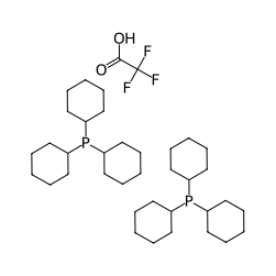 C1CCC(P(C2CCCCC2)C2CCCCC2)CC1.C1CCC(P(C2CCCCC2)C2CCCCC2)CC1.O=C(O)C(F)(F)F